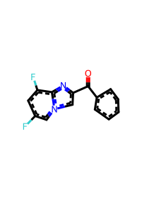 O=C(c1ccccc1)c1cn2cc(F)cc(F)c2n1